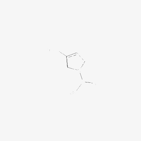 CCCC[S+]([O-])N1CC=C(C(=O)OCC)C1